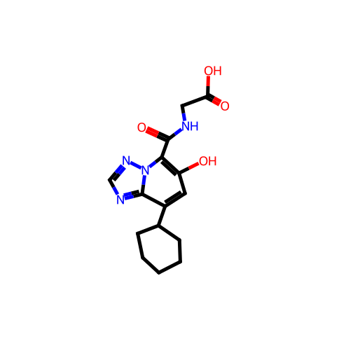 O=C(O)CNC(=O)c1c(O)cc(C2CCCCC2)c2ncnn12